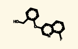 OCc1ccccc1Oc1cnc2c(F)cccc2c1